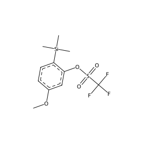 COc1ccc([Si](C)(C)C)c(OS(=O)(=O)C(F)(F)F)c1